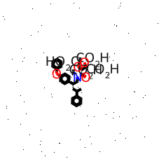 CC(C[C@@H](CN(CC(=O)O)C(=O)[C@@H]1OC(C(=O)O)(C(=O)O)O[C@H]1C(=O)O)c1ccc(Oc2ccccc2)cc1)c1ccccc1